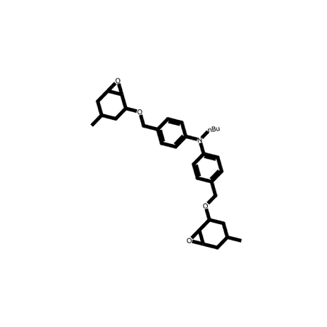 CCCCN(c1ccc(COC2CC(C)CC3OC23)cc1)c1ccc(COC2CC(C)CC3OC23)cc1